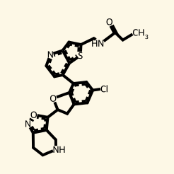 CCC(=O)NCc1cc2nccc(-c3cc(Cl)cc4c3OC(c3onc5c3CNCC5)C4)c2s1